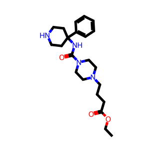 CCOC(=O)CCCN1CCN(C(=O)NC2(c3ccccc3)CCNCC2)CC1